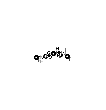 O=S(=O)(c1ccc(Nc2nccc(Nc3ccc(F)cc3)n2)cc1)N1CCC(NCc2ccccc2F)CC1